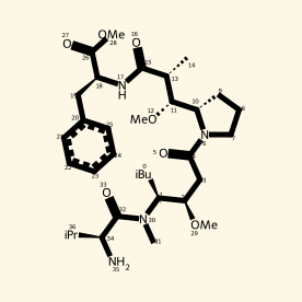 CCC(C)[C@@H]([C@@H](CC(=O)N1CCC[C@H]1[C@H](OC)[C@@H](C)C(=O)N[C@@H](Cc1ccccc1)C(=O)OC)OC)N(C)C(=O)[C@@H](N)C(C)C